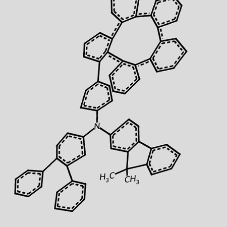 CC1(C)c2ccccc2-c2ccc(N(c3ccc(-c4cccc5c6ccccc6c6ccccc6c6ccccc6c6ccccc6c45)cc3)c3ccc(-c4ccccc4)c(-c4ccccc4)c3)cc21